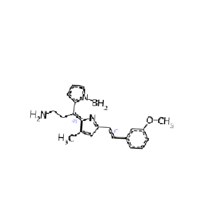 Bn1cccc1/C(CCN)=C1N=C(/C=C/c2cccc(OC)c2)C=C\1C